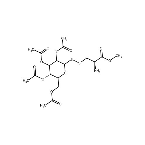 COC(=O)[C@@H](N)CSSC1OC(COC(C)=O)[C@H](OC(C)=O)C(OC(C)=O)C1OC(C)=O